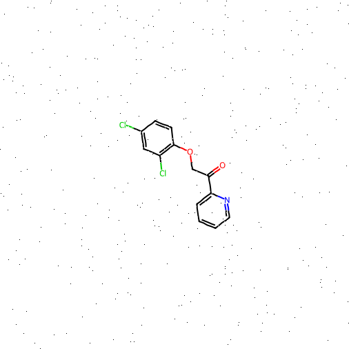 O=C(COc1ccc(Cl)cc1Cl)c1ccccn1